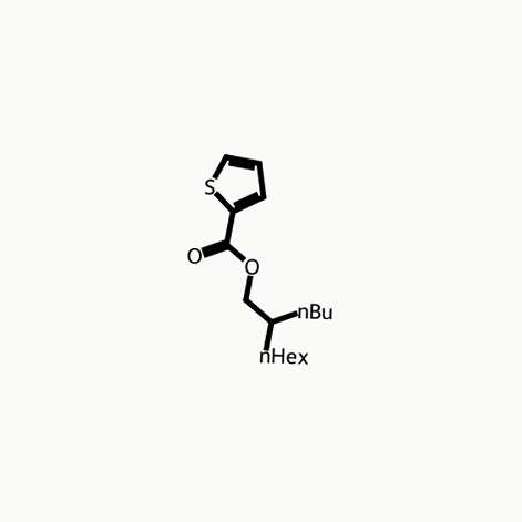 CCCCCCC(CCCC)COC(=O)c1cccs1